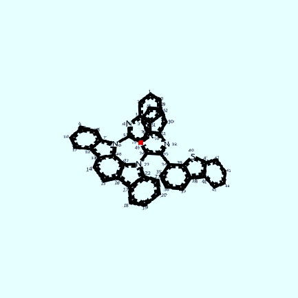 c1ccc2nc(-n3c4ccccc4c4ccc5c6ccccc6n(-c6nc7ccccc7nc6-c6cccc7c6sc6ccccc67)c5c43)cnc2c1